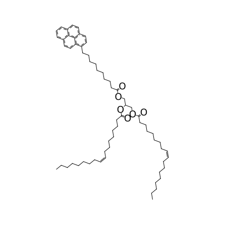 CCCCCCCC/C=C\CCCCCCCC(=O)OCC(COC(=O)CCCCCCCCCc1ccc2ccc3cccc4ccc1c2c34)OC(=O)CCCCCCC/C=C\CCCCCCCC